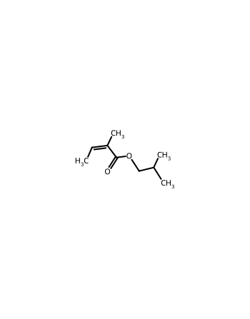 CC=C(C)C(=O)OCC(C)C